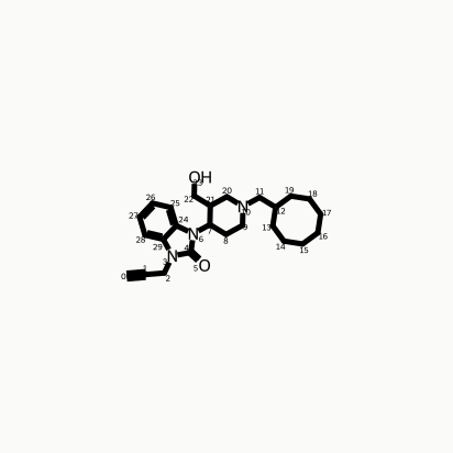 C#CCn1c(=O)n(C2CCN(CC3CCCCCCC3)CC2CO)c2ccccc21